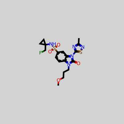 COCCCn1c(=O)n(-c2nc(C)ns2)c2cc(S(=O)(=O)NC3(CF)CC3)ccc21